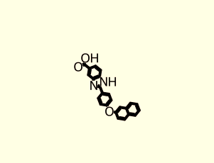 O=C(O)c1ccc2[nH]c(-c3ccc(Oc4ccc5ccccc5c4)cc3)nc2c1